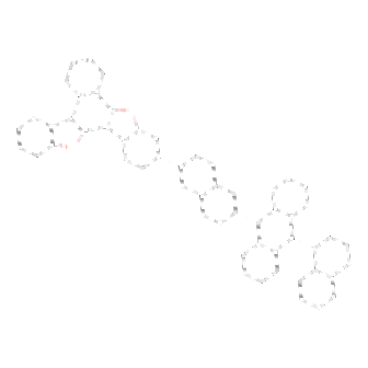 c1ccc2c(-c3c4ccccc4c(-c4ccc5cc(-c6ccc7c(c6)oc6c8ccccc8c8c9ccccc9oc8c76)ccc5c4)c4ccccc34)cccc2c1